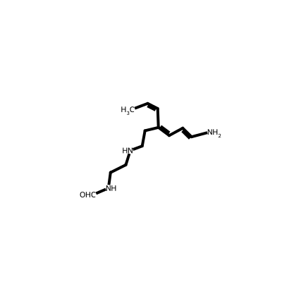 C\C=C/C(=C\C=C\N)CCNCCNC=O